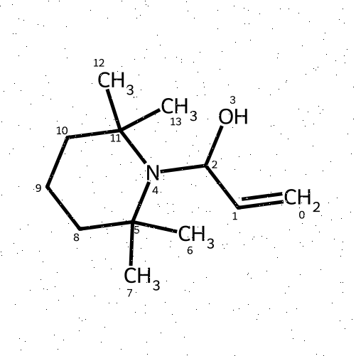 C=CC(O)N1C(C)(C)CCCC1(C)C